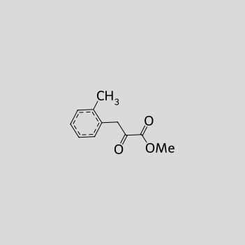 COC(=O)C(=O)Cc1ccccc1C